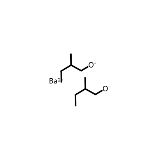 CCC(C)C[O-].CCC(C)C[O-].[Ba+2]